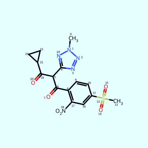 Cn1nnc(C(C(=O)c2ccc(S(C)(=O)=O)cc2[N+](=O)[O-])C(=O)C2CC2)n1